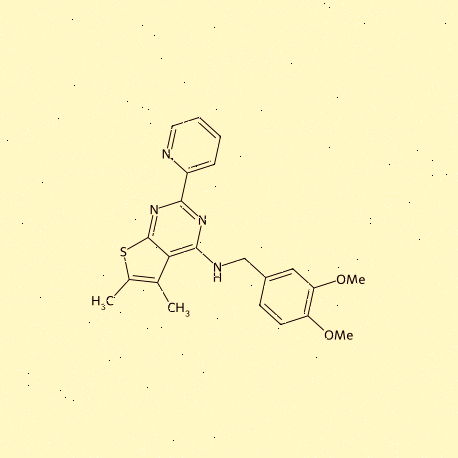 COc1ccc(CNc2nc(-c3ccccn3)nc3sc(C)c(C)c23)cc1OC